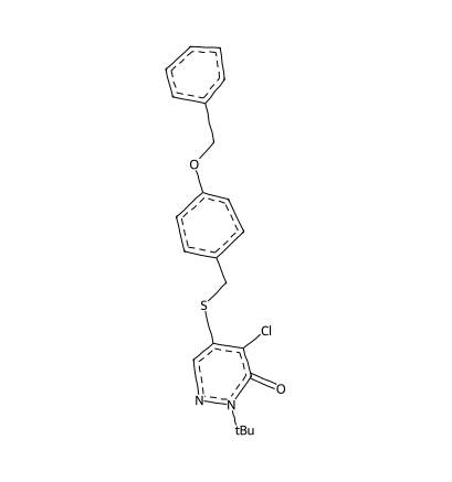 CC(C)(C)n1ncc(SCc2ccc(OCc3ccccc3)cc2)c(Cl)c1=O